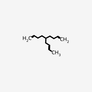 C=CCCC(CC=CC)CCC=C